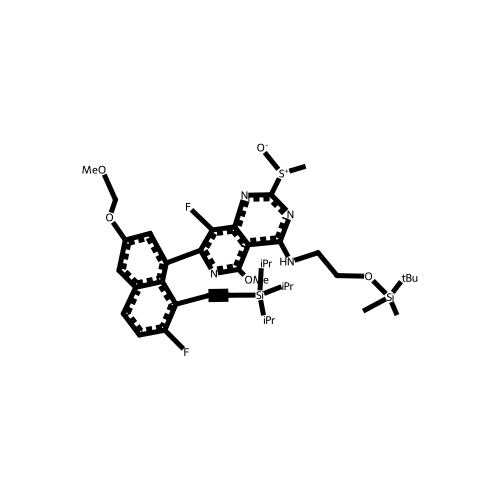 COCOc1cc(-c2nc(OC)c3c(NCCO[Si](C)(C)C(C)(C)C)nc([S+](C)[O-])nc3c2F)c2c(C#C[Si](C(C)C)(C(C)C)C(C)C)c(F)ccc2c1